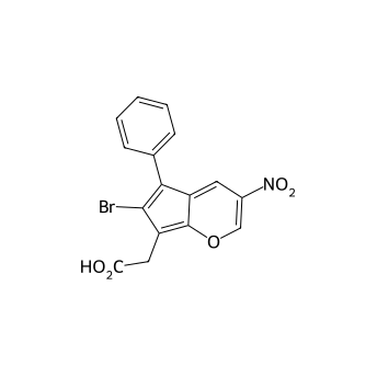 O=C(O)Cc1c2occ([N+](=O)[O-])cc-2c(-c2ccccc2)c1Br